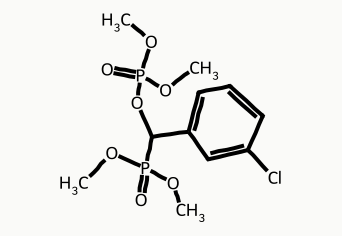 COP(=O)(OC)OC(c1cccc(Cl)c1)P(=O)(OC)OC